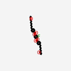 C=COCCCCCCCc1ccc(C(=O)Oc2ccc(OC(=O)c3ccc(CCCCCC(=O)C=C)cc3)c(F)c2)cc1